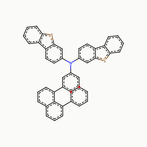 c1ccc(-c2cccc3cccc(-c4cccc(N(c5ccc6c(c5)sc5ccccc56)c5ccc6c(c5)sc5ccccc56)c4)c23)cc1